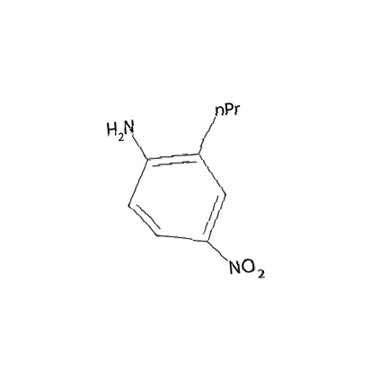 CCCc1cc([N+](=O)[O-])ccc1N